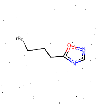 CC(C)(C)CCCc1ncno1